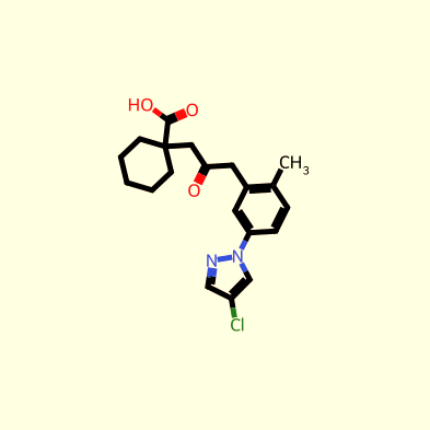 Cc1ccc(-n2cc(Cl)cn2)cc1CC(=O)CC1(C(=O)O)CCCCC1